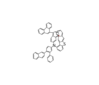 c1ccc(-c2cc(N(c3ccc4c(-c5cc6ccccc6c6ccccc56)cccc4c3)c3cccc4sc5cc6ccccc6cc5c34)ccc2-c2ccc3ccccc3c2)cc1